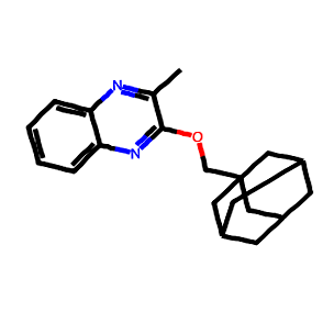 Cc1nc2ccccc2nc1OCC12CC3CC(CC(C3)C1)C2